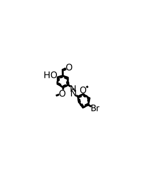 COc1cc(Br)ccc1N=Nc1cc(C=O)c(O)cc1OC